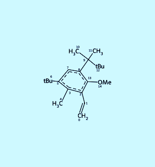 C=Cc1c(C)c(C(C)(C)C)cc(C(C)(C)C(C)(C)C)c1OC